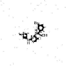 Cn1cc(Nc2ncc(Cl)c(N[C@H](CO)c3cccc(Br)c3)n2)cn1